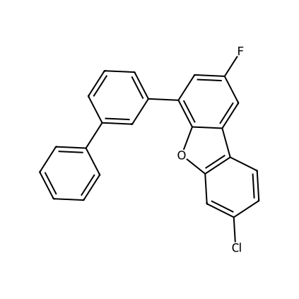 Fc1cc(-c2cccc(-c3ccccc3)c2)c2oc3cc(Cl)ccc3c2c1